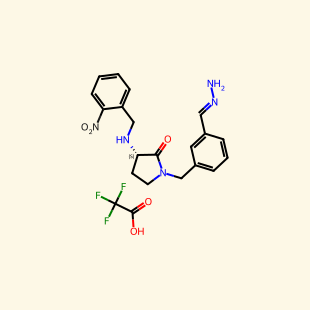 NN=Cc1cccc(CN2CC[C@H](NCc3ccccc3[N+](=O)[O-])C2=O)c1.O=C(O)C(F)(F)F